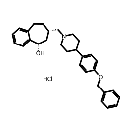 Cl.O[C@H]1C[C@@H](CN2CCC(c3ccc(OCc4ccccc4)cc3)CC2)CCc2ccccc21